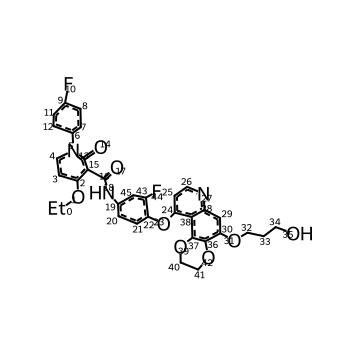 CCOc1ccn(-c2ccc(F)cc2)c(=O)c1C(=O)Nc1ccc(Oc2ccnc3cc(OCCCO)c4c(c23)OCCO4)c(F)c1